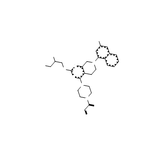 C=CC(=O)N1CCN(c2nc(OCC(C)CC)nc3c2CCN(c2cc(O)cc4ccccc24)C3)CC1